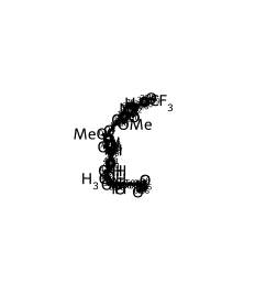 COc1cc2c(cc1OCCCOc1cc3c(cc1OC)C(=O)N1C=C(c4ccc(OC(F)(F)F)cc4)C[C@H]1C=N3)N=C[C@@H]1CC(c3ccc(NC(=O)C(C)NC(=O)C(NC(=O)CCCCCN4C(=O)C=CC4=O)C(C)C)cc3)=CN1C2=O